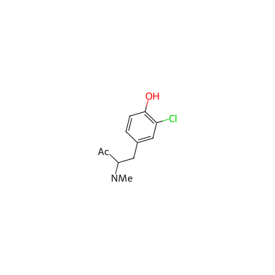 CNC(Cc1ccc(O)c(Cl)c1)C(C)=O